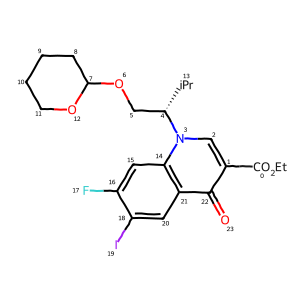 CCOC(=O)c1cn([C@H](COC2CCCCO2)C(C)C)c2cc(F)c(I)cc2c1=O